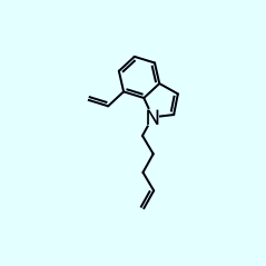 C=CCCCn1ccc2cccc(C=C)c21